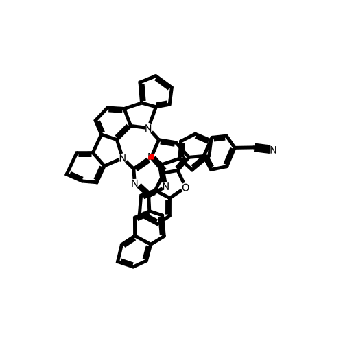 N#Cc1ccc(-c2cc(-n3c4ccccc4c4ccc5c6ccccc6n(-c6nc(-c7ccccc7)nc(-c7ccc8ccccc8c7)n6)c5c43)cc3c2oc2ccccc23)cc1